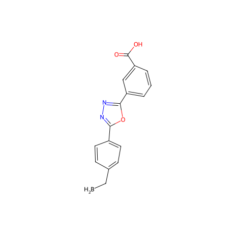 BCc1ccc(-c2nnc(-c3cccc(C(=O)O)c3)o2)cc1